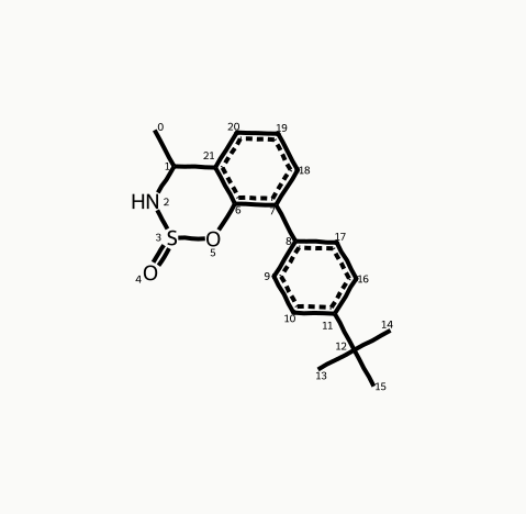 CC1NS(=O)Oc2c(-c3ccc(C(C)(C)C)cc3)cccc21